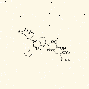 CCC(CC)n1c(CC2CCCC2)nc2cc(C(=O)N[C@@H](CC(C)C)C(=O)O)ccc21